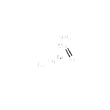 [Cu].[La].[Ni].[O]=[Mn].[SrH2]